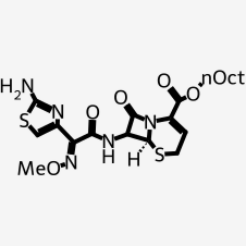 CCCCCCCCOC(=O)C1=CCS[C@H]2C(NC(=O)C(=NOC)c3csc(N)n3)C(=O)N12